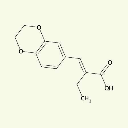 CC/C(=C\c1ccc2c(c1)OCCO2)C(=O)O